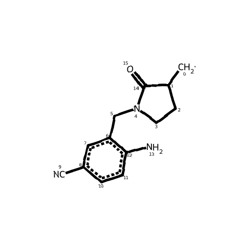 [CH2]C1CCN(Cc2cc(C#N)ccc2N)C1=O